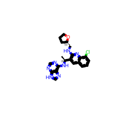 C[C@H](Nc1ncnc2[nH]cnc12)c1cc2cccc(Cl)c2nc1NC[C@@H]1CCCO1